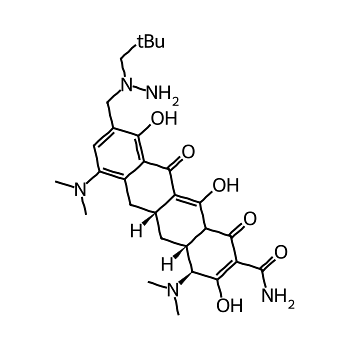 CN(C)c1cc(CN(N)CC(C)(C)C)c(O)c2c1C[C@H]1C[C@@H]3C(C(=O)C(C(N)=O)=C(O)[C@H]3N(C)C)C(O)=C1C2=O